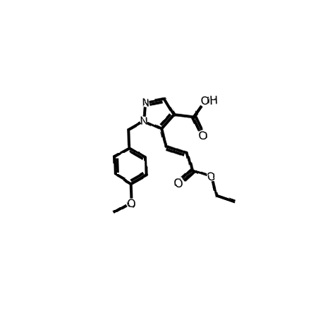 CCOC(=O)/C=C/c1c(C(=O)O)cnn1Cc1ccc(OC)cc1